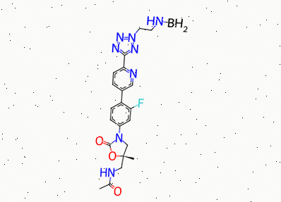 BNCCn1nnc(-c2ccc(-c3ccc(N4C[C@](C)(CNC(C)=O)OC4=O)cc3F)cn2)n1